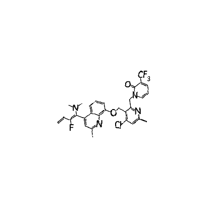 C=C/C(F)=C(/c1cc(C)nc2c(OCc3c(Cl)cc(C)nc3Cn3cccc(C(F)(F)F)c3=O)cccc12)N(C)C